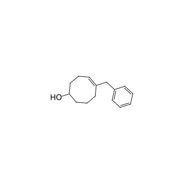 OC1CC/C=C(/Cc2ccccc2)CCC1